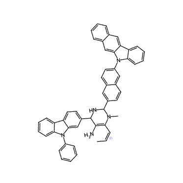 C/C=C\C1=C(N)C(c2ccc3c4ccccc4n(-c4ccccc4)c3c2)NC(c2ccc3cc(-n4c5ccccc5c5cc6ccccc6cc54)ccc3c2)N1C